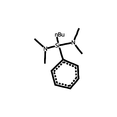 CCCC[Si](c1ccccc1)(N(C)C)N(C)C